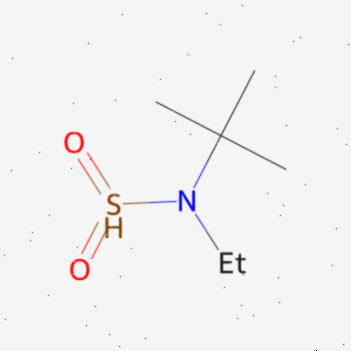 CCN([SH](=O)=O)C(C)(C)C